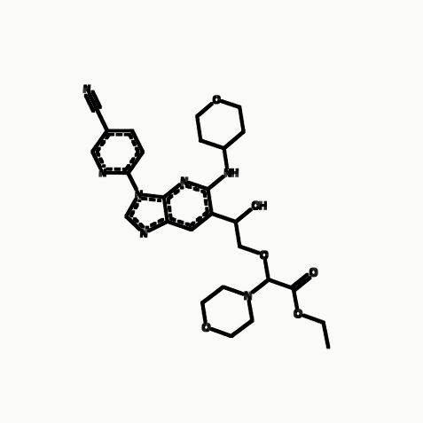 CCOC(=O)C(OCC(O)c1cc2ncn(-c3ccc(C#N)cn3)c2nc1NC1CCOCC1)N1CCOCC1